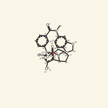 CN(C(=O)c1cccc(-n2nc(C(F)(F)F)c3c2CC2CCC3N2C(=O)OC(C)(C)C)c1)c1ccc2c(c1)OCO2